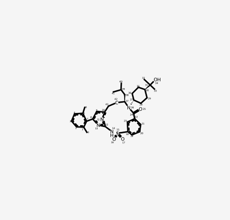 Cc1cccc(C)c1-c1cc2nc(n1)NS(=O)(=O)c1cccc(c1)C(=O)N([C@H]1CC[C@H](C(C)(C)O)CC1)[C@H](CC(C)C)CC2